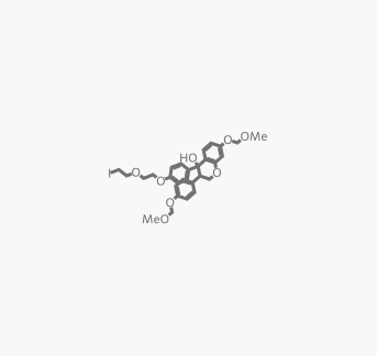 COCOc1ccc(C2COc3cc(OCOC)ccc3C2(O)c2ccc(OCCOCCI)cc2)cc1